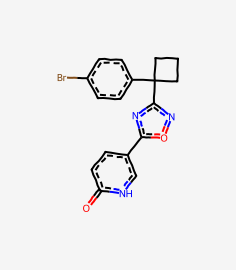 O=c1ccc(-c2nc(C3(c4ccc(Br)cc4)CCC3)no2)c[nH]1